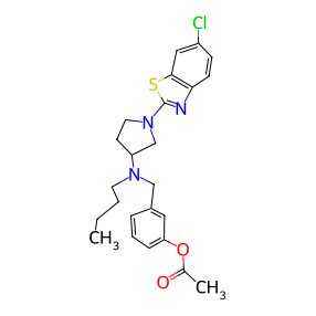 CCCCN(Cc1cccc(OC(C)=O)c1)C1CCN(c2nc3ccc(Cl)cc3s2)C1